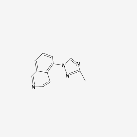 Cc1ncn(-c2cccc3cnccc23)n1